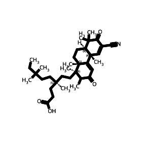 CCC(C)(C)CC[C@](C)(CCC(=O)O)CC[C@]1(C)C(C)C(=O)C=C2[C@@]3(C)C=C(C#N)C(=O)C(C)(C)[C@@H]3CC[C@]21C